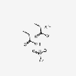 CCC(=O)O.CCC(=O)[O-].O=[PH]([O-])[O-].[Al+3]